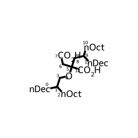 CCCCCCCCCCC(CCCCCCCC)COC(CC(=O)O)(CC(CCCCCCCC)CCCCCCCCCC)C(=O)O